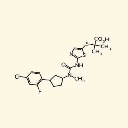 CN(C(=O)Nc1ncc(SC(C)(C)C(=O)O)s1)C1CCC(c2ccc(Cl)cc2F)C1